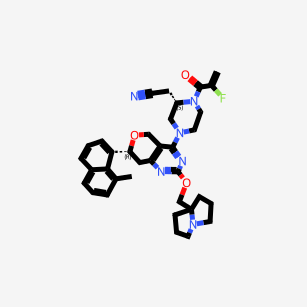 C=C(F)C(=O)N1CCN(c2nc(OCC34CCCN3CCC4)nc3c2CO[C@@H](c2cccc4cccc(C)c24)C3)C[C@@H]1CC#N